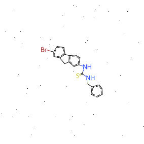 S=C(NCc1ccccc1)Nc1ccc2c(c1)Cc1cc(Br)ccc1-2